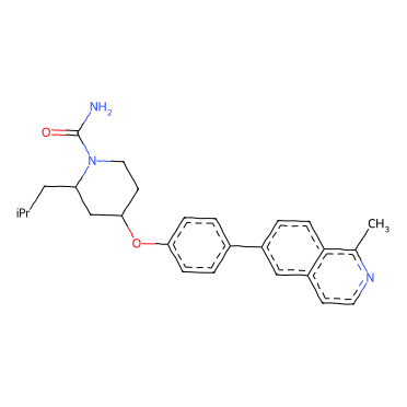 Cc1nccc2cc(-c3ccc(OC4CCN(C(N)=O)C(CC(C)C)C4)cc3)ccc12